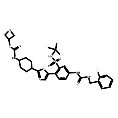 CC(C)(C)NS(=O)(=O)c1cc(NC(=O)NCc2ccccc2F)ccc1-c1cnc(C2CCC(NC(=O)OC3COC3)CC2)s1